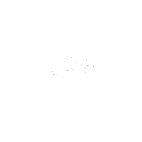 CC(=S)Nc1cccc(S(N)(=O)=O)c1